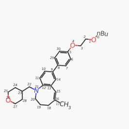 CCCCOCCOc1ccc(-c2ccc3c(c2)/C=C(/C)CCCN3CC2CCOCC2)cc1